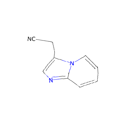 N#CCc1cnc2ccccn12